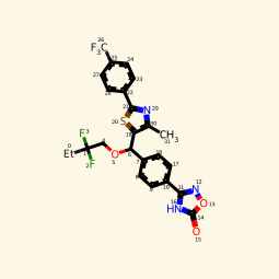 CCC(F)(F)COC(c1ccc(-c2noc(=O)[nH]2)cc1)c1sc(-c2ccc(C(F)(F)F)cc2)nc1C